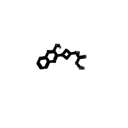 Cc1nc2ccccc2nc1N1CC(NC(=O)OC(C)(C)C)C1